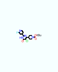 CC(C)(C)OC(=O)N1CCC(c2nc(-c3ccnc(F)c3)[nH]c(=O)c2Cl)CC1